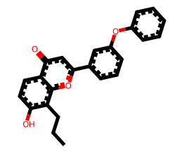 CCCc1c(O)ccc2c(=O)cc(-c3cccc(Oc4ccccc4)c3)oc12